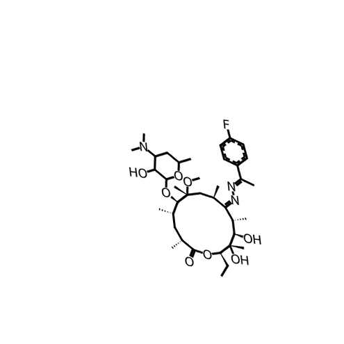 CC[C@H]1OC(=O)[C@H](C)C[C@H](C)[C@@H](OC2OC(C)CC(N(C)C)C2O)[C@](C)(OC)C[C@@H](C)/C(=N\N=C(/C)c2ccc(F)cc2)[C@H](C)[C@@H](O)[C@]1(C)O